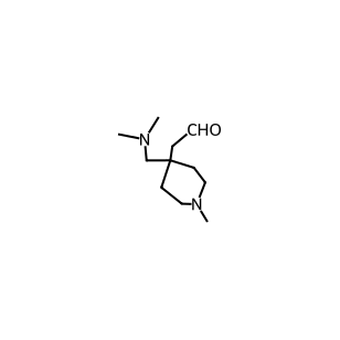 CN(C)CC1(CC=O)CCN(C)CC1